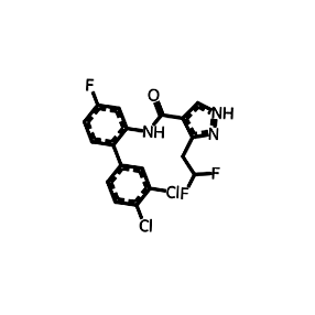 O=C(Nc1cc(F)ccc1-c1ccc(Cl)c(Cl)c1)c1c[nH]nc1CC(F)F